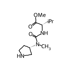 COC(=O)[C@@H](NC(=O)N(C)[C@H]1CCNC1)C(C)C